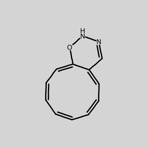 C1=NNOc2ccccccccc21